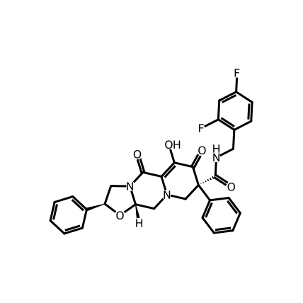 O=C1C2=C(O)C(=O)[C@@](C(=O)NCc3ccc(F)cc3F)(c3ccccc3)CN2C[C@@H]2O[C@@H](c3ccccc3)CN12